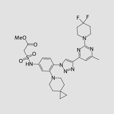 COC(=O)CS(=O)(=O)Nc1ccc(-n2cc(-c3cc(C)nc(N4CCC(F)(F)CC4)n3)nn2)c(N2CCC3(CC2)CC3)c1